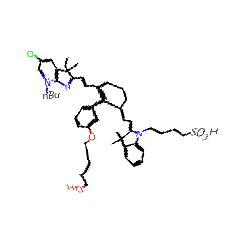 CCCC[n+]1cc(Cl)cc2c1N=C(/C=C/C1=C(c3cccc(OCCCCO)c3)C(=C/C=C3/N(CCCCS(=O)(=O)O)c4ccccc4C3(C)C)/CCC1)C2(C)C